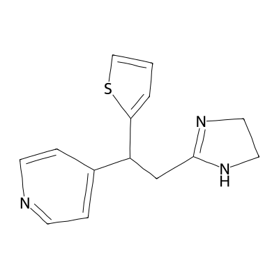 c1csc(C(CC2=NCCN2)c2ccncc2)c1